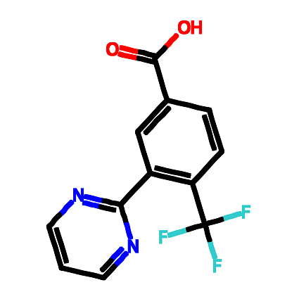 O=C(O)c1ccc(C(F)(F)F)c(-c2ncccn2)c1